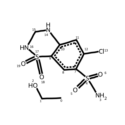 CCO.NS(=O)(=O)c1cc2c(cc1Cl)NCNS2(=O)=O